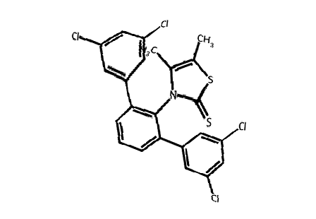 Cc1sc(=S)n(-c2c(-c3cc(Cl)cc(Cl)c3)cccc2-c2cc(Cl)cc(Cl)c2)c1C